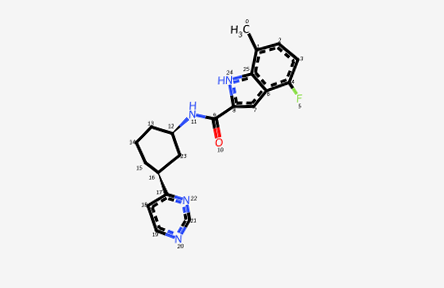 Cc1ccc(F)c2cc(C(=O)N[C@@H]3CCC[C@H](c4ccncn4)C3)[nH]c12